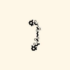 CC(CC(=O)C1C(C)C=CCC1(C)C)SCC(=O)OCCCCOC(=O)CS[C@@H](C)CC(=O)[C@@H]1C(C)C=CCC1(C)C